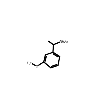 CC(=O)NC(C)c1cccc(OC(F)(F)F)c1